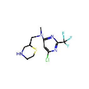 CN(CC1CNCCS1)c1cc(Cl)nc(C(F)(F)F)n1